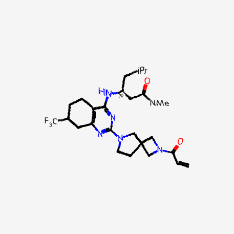 C=CC(=O)N1CC2(CCN(c3nc4c(c(N[C@H](CC(=O)NC)CC(C)C)n3)CCC(C(F)(F)F)C4)C2)C1